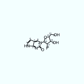 O=c1nc2[nH]ccc2cn1C1OC(CO)C(O)C1F